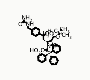 C[C@@H](O[Si](C)(C)C)[C@H]1C(=O)N(C(C(=O)O)=P(c2ccccc2)(c2ccccc2)c2ccccc2)[C@@H]1CC(=O)c1ccc(CNC(N)=O)cc1